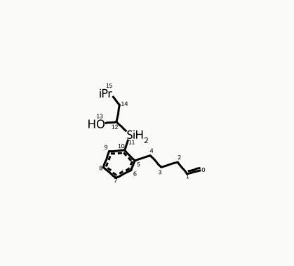 C=CCCCc1ccccc1[SiH2]C(O)CC(C)C